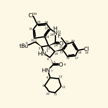 CC(C)(C)C[C@@H]1N[C@@H](C(=O)NC2CCCCC2)[C@H](c2ccc(Cl)cc2F)[C@]12C(=O)Nc1cc(Cl)ccc12